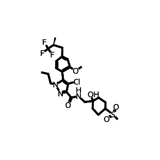 CCCn1nc(C(=O)NCC2(O)CCC(S(C)(=O)=O)CC2)c(Cl)c1-c1ccc(C[C@H](C)C(F)(F)F)cc1OC